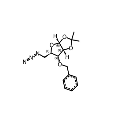 CC1(C)O[C@H]2O[C@H](CN=[N+]=[N-])[C@H](OCc3ccccc3)[C@H]2O1